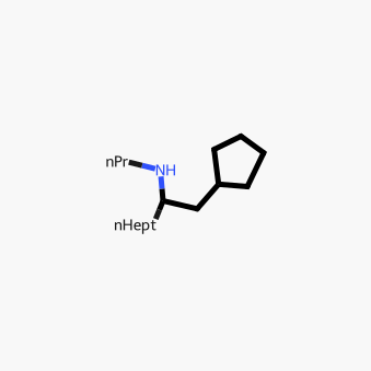 CCCCCCCC(CC1CCCC1)NCCC